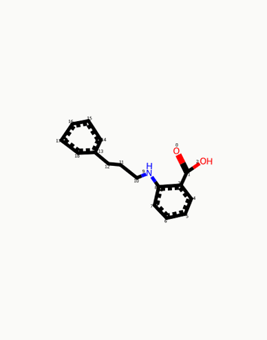 O=C(O)c1ccccc1NCCCc1ccccc1